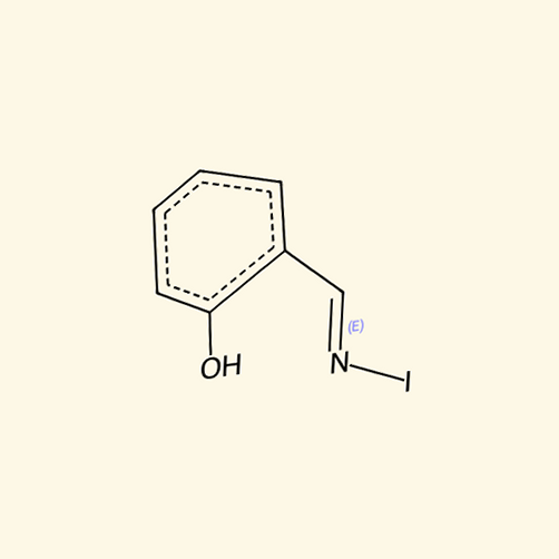 Oc1ccccc1/C=N/I